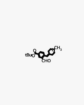 CN1CCC(=Cc2ccc(C(=O)OC(C)(C)C)cc2C=O)CC1